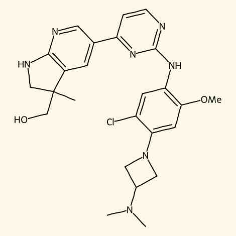 COc1cc(N2CC(N(C)C)C2)c(Cl)cc1Nc1nccc(-c2cnc3c(c2)C(C)(CO)CN3)n1